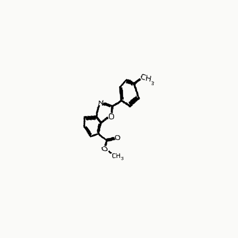 COC(=O)c1cccc2nc(-c3ccc(C)cc3)oc12